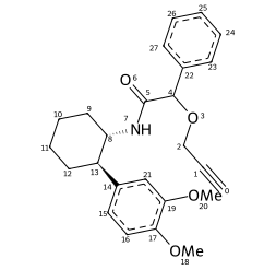 C#CCOC(C(=O)N[C@H]1CCCC[C@@H]1c1ccc(OC)c(OC)c1)c1ccccc1